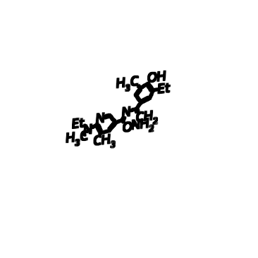 C=C(/N=C(\ON)c1cnc(N(C)CC)c(C)c1)c1cc(C)c(O)c(CC)c1